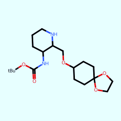 CC(C)(C)OC(=O)NC1CCCNC1COC1CCC2(CC1)OCCO2